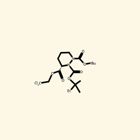 CCC(C)(C)OC(=O)N1[C@H](C(=O)OCC(Cl)(Cl)Cl)CCCN1C(=O)OC(C)(C)C